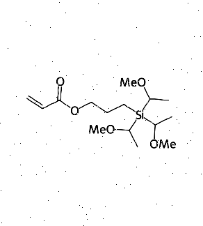 C=CC(=O)OCCC[Si](C(C)OC)(C(C)OC)C(C)OC